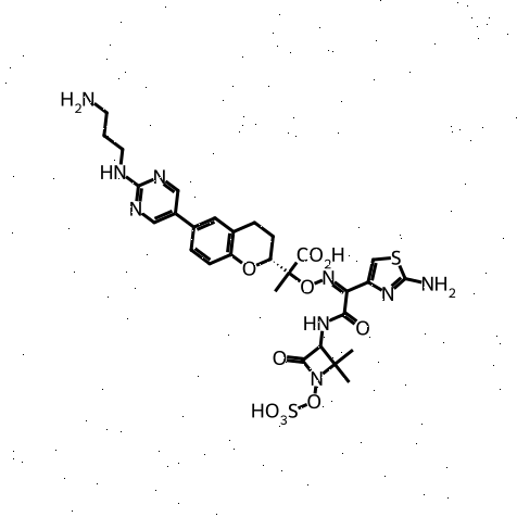 CC(O/N=C(\C(=O)NC1C(=O)N(OS(=O)(=O)O)C1(C)C)c1csc(N)n1)(C(=O)O)[C@H]1CCc2cc(-c3cnc(NCCCN)nc3)ccc2O1